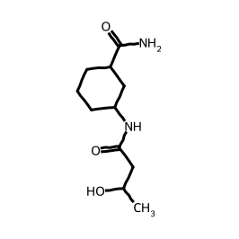 CC(O)CC(=O)NC1CCCC(C(N)=O)C1